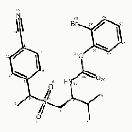 CC(C)[C@@H](CS(=O)(=O)C(C)c1ccc(C#N)cc1)NC(=O)Oc1ccccc1Br